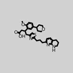 COc1ccc(C2CCOCC2)cc1C(CC(=O)O)Cc1csc(CCCc2ccc3c(n2)NCCC3)n1